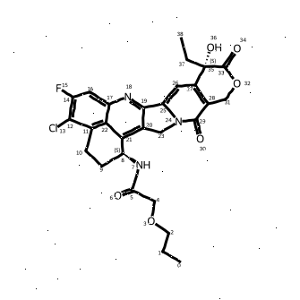 CCCOCC(=O)N[C@H]1CCc2c(Cl)c(F)cc3nc4c(c1c23)Cn1c-4cc2c(c1=O)COC(=O)[C@]2(O)CC